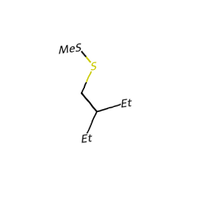 CCC(CC)CSSC